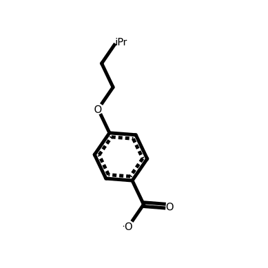 CC(C)CCOc1ccc(C([O])=O)cc1